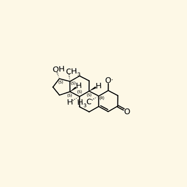 C[C@]12CC[C@H]3[C@@H](CCC4=CC(=O)CC([O])[C@@]43C)[C@@H]1CC[C@@H]2O